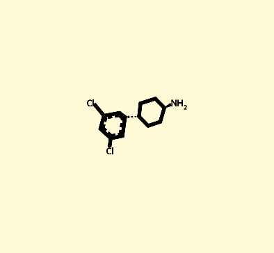 N[C@H]1CC[C@H](c2cc(Cl)cc(Cl)c2)CC1